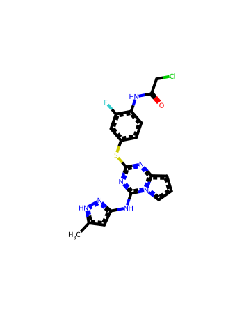 Cc1cc(Nc2nc(Sc3ccc(NC(=O)CCl)c(F)c3)nc3cccn23)n[nH]1